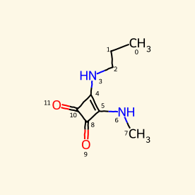 CCCNc1c(NC)c(=O)c1=O